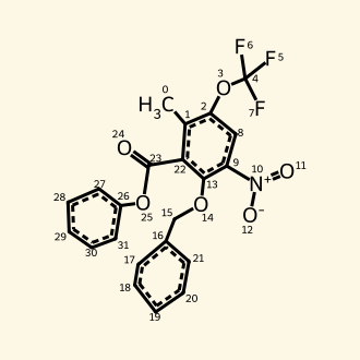 Cc1c(OC(F)(F)F)cc([N+](=O)[O-])c(OCc2ccccc2)c1C(=O)Oc1ccccc1